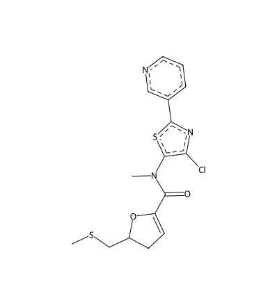 CSCC1CC=C(C(=O)N(C)c2sc(-c3cccnc3)nc2Cl)O1